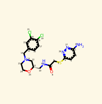 Nc1ccc(SCC(=O)NC[C@H]2CN(Cc3ccc(Cl)c(Cl)c3)CCO2)nn1